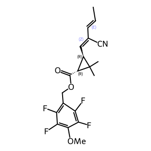 C/C=C/C(C#N)=C/[C@@H]1[C@@H](C(=O)OCc2c(F)c(F)c(OC)c(F)c2F)C1(C)C